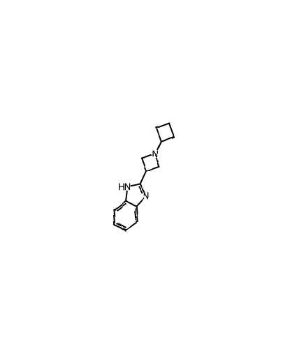 c1ccc2[nH]c(C3CN(C4CCC4)C3)nc2c1